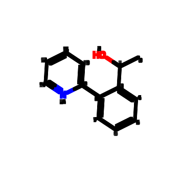 CC(O)c1ccccc1-c1ccccn1